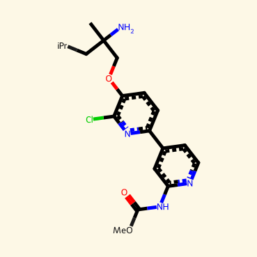 COC(=O)Nc1cc(-c2ccc(OCC(C)(N)CC(C)C)c(Cl)n2)ccn1